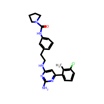 Cc1c(Cl)cccc1-c1cc(NCCc2cccc(NC(=O)N3CCCC3)c2)nc(N)n1